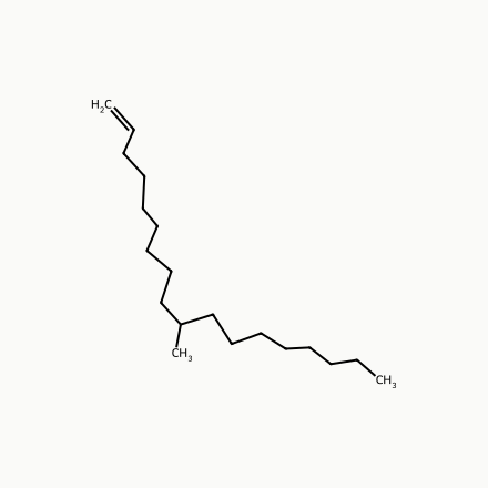 C=CCCCCCCCC(C)CCCCCCCC